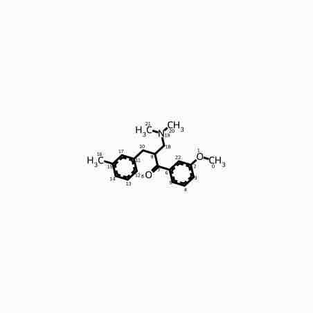 COc1cccc(C(=O)C(Cc2cccc(C)c2)CN(C)C)c1